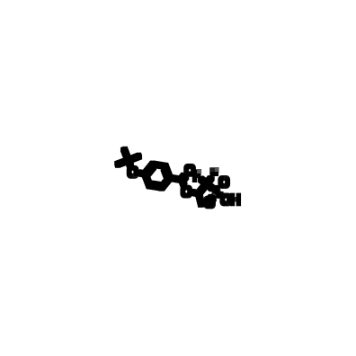 CC(OC(=O)c1ccc(OC(C)(C)C)cc1)C(F)(F)S(=O)(=O)O